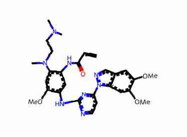 C=CC(=O)Nc1cc(Nc2nccc(-n3ncc4cc(OC)c(OC)cc43)n2)c(OC)cc1N(C)CCN(C)C